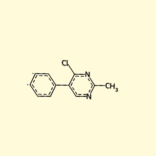 Cc1ncc(-c2c[c][c]cc2)c(Cl)n1